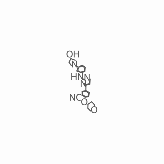 N#Cc1cc(-c2ccnc(Nc3cccc(N4CCC(O)C4)c3)n2)ccc1OC1CCOCC1